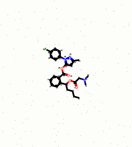 CCCCC(OC(=O)CN(C)C)c1ccccc1C(=O)Oc1cc(C)nn1-c1ccc(F)cc1